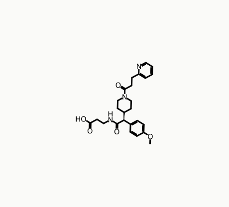 COc1ccc([C@@H](C(=O)NCCC(=O)O)C2CCN(C(=O)CCc3ccccn3)CC2)cc1